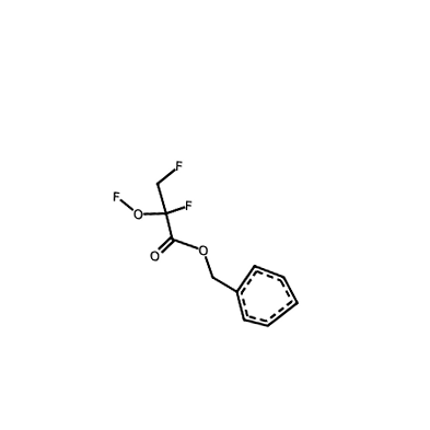 O=C(OCc1ccccc1)C(F)(CF)OF